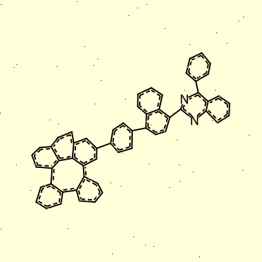 c1ccc(-c2nc(-c3ccc(-c4ccc(-c5cc6ccc7cccc8c9ccccc9c9ccccc9c(c5)c6c78)cc4)c4ccccc34)nc3ccccc23)cc1